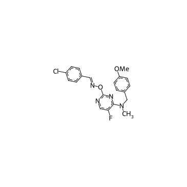 COc1ccc(CN(C)c2nc(ON=Cc3ccc(Cl)cc3)ncc2F)cc1